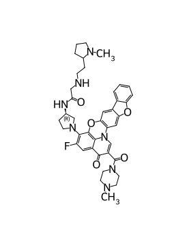 CN1CCN(C(=O)c2cn3c4c(c(N5CC[C@@H](NC(=O)CNCCC6CCCN6C)C5)c(F)cc4c2=O)Oc2cc4c(cc2-3)oc2ccccc24)CC1